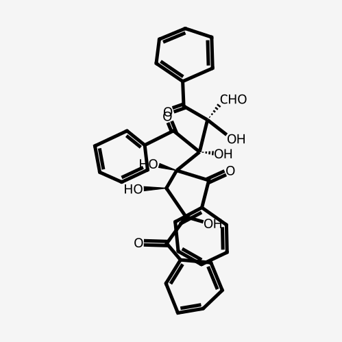 O=C[C@@](O)(C(=O)c1ccccc1)[C@](O)(C(=O)c1ccccc1)[C@](O)(C(=O)c1ccccc1)[C@H](O)C(O)C(=O)c1ccccc1